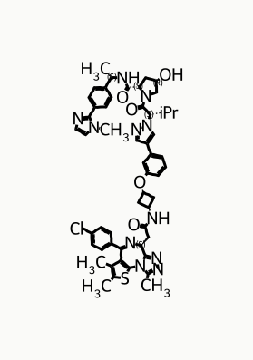 Cc1sc2c(c1C)C(c1ccc(Cl)cc1)=N[C@@H](CC(=O)N[C@H]1C[C@@H](Oc3cccc(-c4cnn([C@H](C(=O)N5C[C@H](O)C[C@H]5C(=O)N[C@@H](C)c5ccc(-c6nccn6C)cc5)C(C)C)c4)c3)C1)c1nnc(C)n1-2